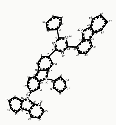 c1ccc(-c2nc(-c3ccc4c5ccc(-n6c7ccccc7c7cccnc76)cc5n(-c5ccccc5)c4c3)nc(-c3cccc4c3oc3ccccc34)n2)cc1